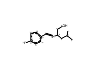 CC(C)CC(CO)N=Cc1ccc(F)cc1